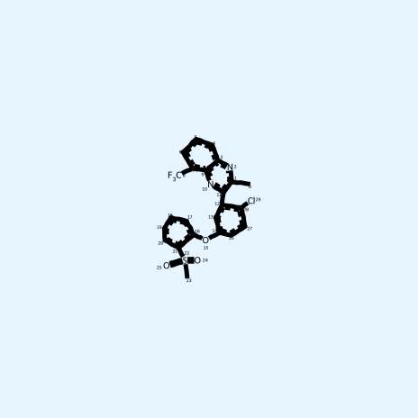 Cc1nc2cccc(C(F)(F)F)c2nc1-c1cc(Oc2ccccc2S(C)(=O)=O)ccc1Cl